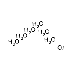 O.O.O.O.O.O.[Cu]